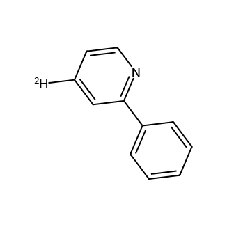 [2H]c1ccnc(-c2ccccc2)c1